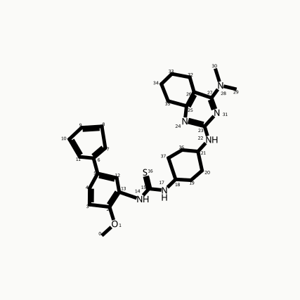 COc1ccc(-c2ccccc2)cc1NC(=S)NC1CCC(Nc2nc3c(c(N(C)C)n2)CCCC3)CC1